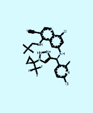 Cc1nc(Cl)ccc1[C@H](Nc1cc(Cl)c2ncc(C#N)c(NCC(C)(C)C)c2c1)C1=CN(C2(C(F)(F)F)CC2)NN1